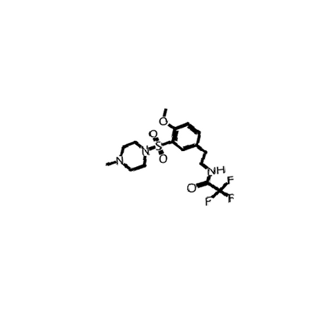 COc1ccc(CCNC(=O)C(F)(F)F)cc1S(=O)(=O)N1CCN(C)CC1